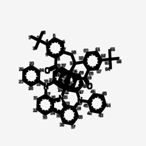 CC(C)(C)c1ccc2c(c1)C(=O)c1cc(-n3c4c(N(c5ccccc5)c5ccccc5)cccc4c4cccc(N(c5ccccc5)c5ccccc5)c43)cc3c1C(C2)c1ccc(C(C)(C)C)cc1C3=O